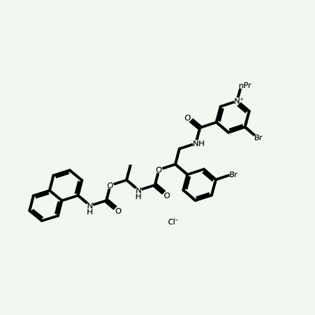 CCC[n+]1cc(Br)cc(C(=O)NCC(OC(=O)NC(C)OC(=O)Nc2cccc3ccccc23)c2cccc(Br)c2)c1.[Cl-]